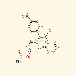 CCC(=O)Oc1ccc(/C(=C(/CC)c2ccccc2)c2ccc(C=O)cc2)cc1